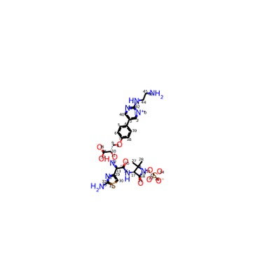 C[n+]1cc(-c2ccc(OC[C@H](O/N=C(\C(=O)N[C@@H]3C(=O)N(OS(=O)(=O)[O-])C3(C)C)c3csc(N)n3)C(=O)O)cc2)cnc1NCCN